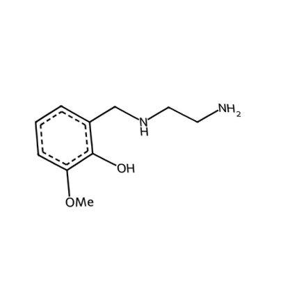 COc1cccc(CNCCN)c1O